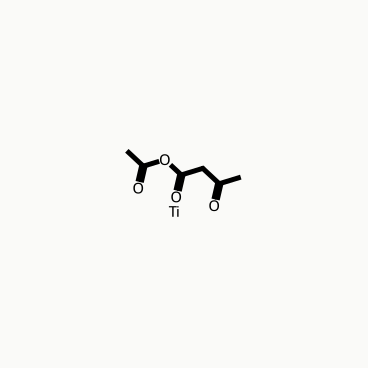 CC(=O)CC(=O)OC(C)=O.[Ti]